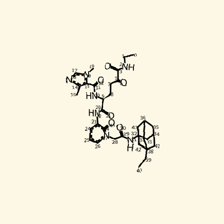 CCNC(=O)C(=O)CC[C@H](NC(=O)c1c(C)ncn1C)C(=O)Nc1cccn(CC(=O)NC23CC4CC(CC(CC)(C4)C2)C3)c1=O